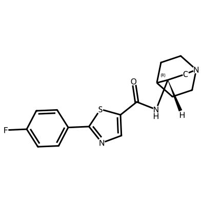 O=C(N[C@H]1CN2CCC1CC2)c1cnc(-c2ccc(F)cc2)s1